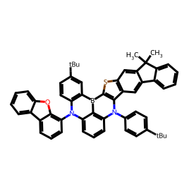 CC(C)(C)c1ccc(N2c3cccc4c3B(c3cc(C(C)(C)C)ccc3N4c3cccc4c3oc3ccccc34)c3sc4cc5c(cc4c32)-c2ccccc2C5(C)C)cc1